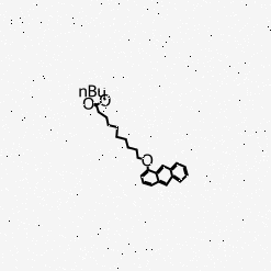 CCCCOC(=O)CCCCCCCCCOc1cccc2cc3ccccc3cc12